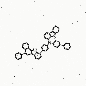 c1ccc(-c2ccc(N(c3ccc(-c4cccc5c4oc4c6ccccc6c(-c6ccccc6)cc54)cc3)c3cccc4c3sc3ccccc34)cc2)cc1